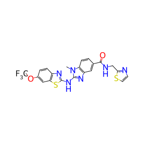 Cn1c(Nc2nc3ccc(OC(F)(F)F)cc3s2)nc2cc(C(=O)NCc3nccs3)ccc21